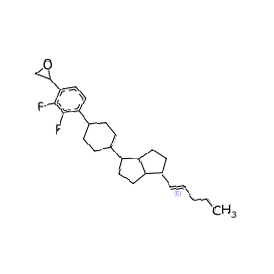 CCC/C=C/C1CCC2C1CCC2C1CCC(c2ccc(C3CO3)c(F)c2F)CC1